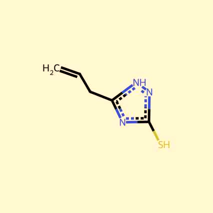 C=CCc1nc(S)n[nH]1